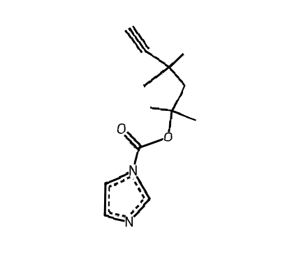 C#CC(C)(C)CC(C)(C)OC(=O)n1ccnc1